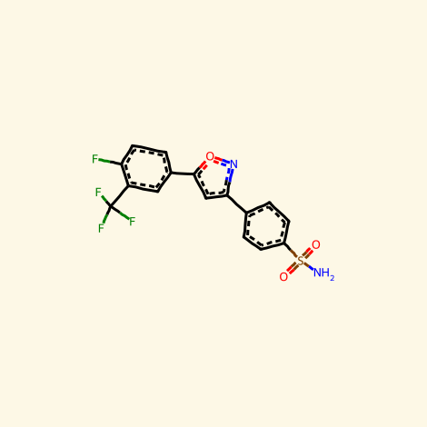 NS(=O)(=O)c1ccc(-c2cc(-c3ccc(F)c(C(F)(F)F)c3)on2)cc1